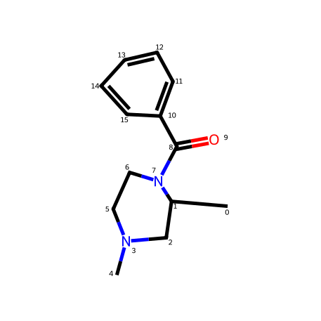 CC1CN(C)CCN1C(=O)c1ccccc1